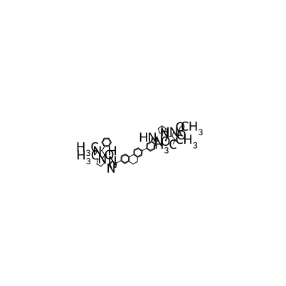 COC(=O)N[C@H](C(=O)N1CCC[C@H]1c1nc2ccc(-c3ccc4c(c3)CCc3cc(-c5cnc([C@@H]6CCCN6C(=O)C(c6ccccc6)N(C)C)[nH]5)ccc3-4)cc2[nH]1)C(C)C